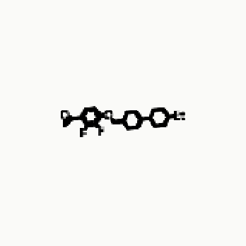 CCC1CCC(C2CCC(COc3ccc(C4CO4)c(F)c3F)CC2)CC1